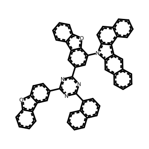 c1ccc2cc3c(cc2c1)c1c2ccccc2ccc1n3-c1cc(-c2nc(-c3ccc4oc5ccccc5c4c3)nc(-c3cccc4ccccc34)n2)cc2c1oc1ccccc12